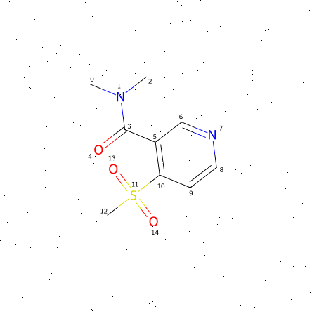 CN(C)C(=O)c1cnccc1S(C)(=O)=O